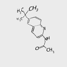 CC(=O)Nc1ccc2cc(C(C)(C)C)ccc2n1